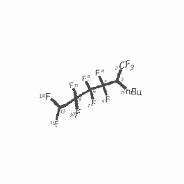 CCCCC(C(F)(F)F)C(F)(F)C(F)(F)C(F)(F)C(F)F